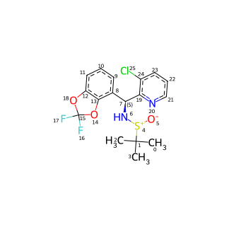 CC(C)(C)[S+]([O-])N[C@@H](c1cccc2c1OC(F)(F)O2)c1ncccc1Cl